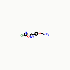 NCCCOc1ccc(-c2ccc(Oc3cncc(Cl)c3)nn2)cc1